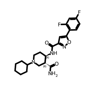 NC(=O)[C@@H]1CN(C2CCCCC2)CC[C@H]1NC(=O)c1cc(-c2ccc(F)cc2F)on1